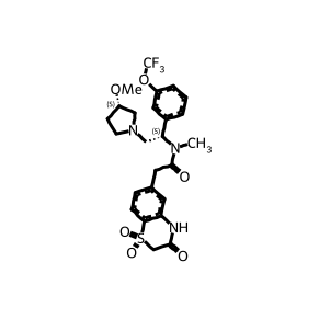 CO[C@H]1CCN(C[C@H](c2cccc(OC(F)(F)F)c2)N(C)C(=O)Cc2ccc3c(c2)NC(=O)CS3(=O)=O)C1